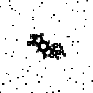 CC(C)(C)c1cc2c(cc1F)C(=O)NC2